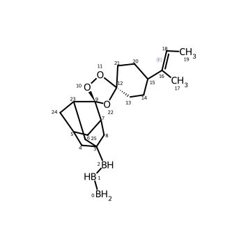 BBBC12CC3CC(C1)[C@]1(OO[C@]4(CCC(/C(C)=C/C)CC4)O1)C(C3)C2